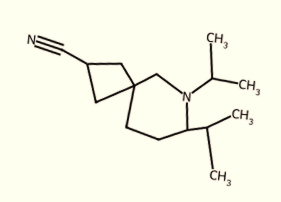 CC(C)C1CCC2(CC(C#N)C2)CN1C(C)C